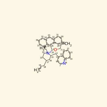 C=CCO[C@H](c1ccnc2ccccc12)C1CC(CC=C)CC[N+]1(C)Cc1c2ccccc2cc2ccccc12